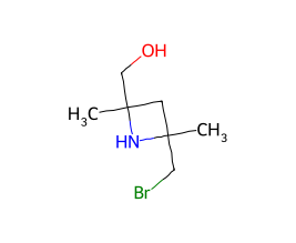 CC1(CO)CC(C)(CBr)N1